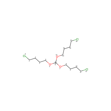 ClCCCCOB(OCCCCCl)OCCCCCl